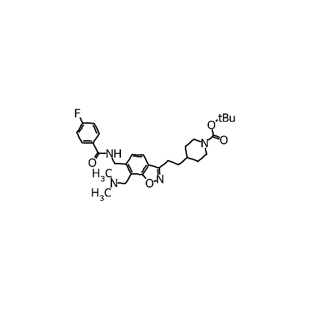 CN(C)Cc1c(CNC(=O)c2ccc(F)cc2)ccc2c(CCC3CCN(C(=O)OC(C)(C)C)CC3)noc12